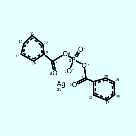 O=C(OP(=O)([O-])OC(=O)c1ccccc1)c1ccccc1.[Ag+]